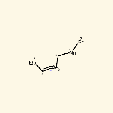 CC(C)NC/C=C\C(C)(C)C